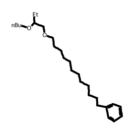 CCCCOC(CC)COCCCCCCCCCCCCc1ccccc1